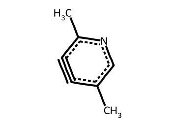 Cc1c#cc(C)nc1